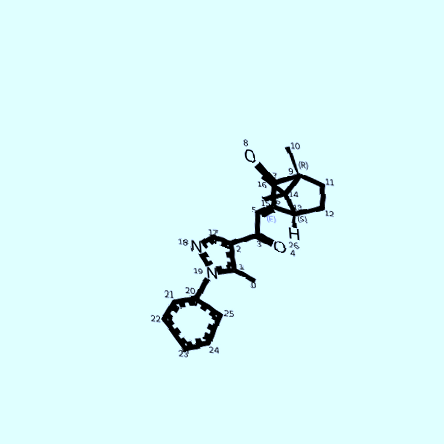 Cc1c(C(=O)/C=C2/C(=O)[C@]3(C)CC[C@H]2C3(C)C)cnn1-c1ccccc1